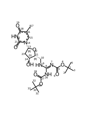 CC(C)(C)OC(=O)N=C(NC[C@H]1O[C@@H](n2cc(I)c(=O)[nH]c2=O)C[C@@H]1O)NC(=O)OC(C)(C)C